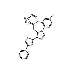 C=C1Cc2c(-c3nc(-c4ccccc4)co3)ncn2-c2ccc(Cl)cc2N1/N=N\C